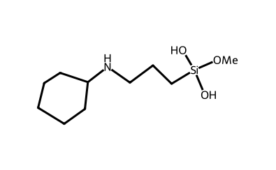 CO[Si](O)(O)CCCNC1CCCCC1